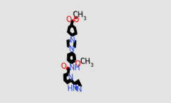 COC(=O)C1CCC(N2CCN(c3ccc(NC(=O)c4cccc(-c5ccn[nH]5)n4)c(OC)c3)CC2)CC1